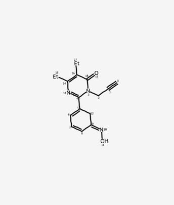 C#CCn1c(C2=CC=CC(=NO)C2)nc(CC)c(CC)c1=O